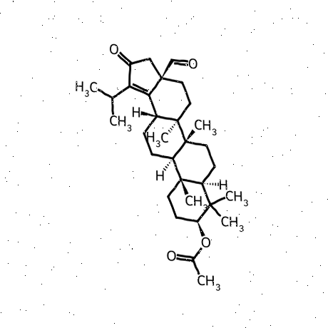 CC(=O)O[C@H]1CC[C@]2(C)[C@H]3CC[C@@H]4C5=C(C(C)C)C(=O)C[C@]5(C=O)CC[C@@]4(C)[C@]3(C)CC[C@H]2C1(C)C